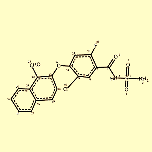 NS(=O)(=O)NC(=O)c1cc(Cl)c(Oc2ccc3ccccc3c2C=O)cc1F